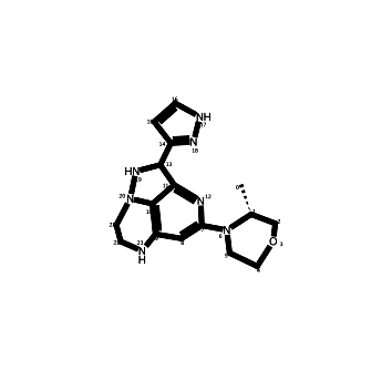 C[C@@H]1COCCN1c1cc2c3c(n1)C(c1cc[nH]n1)NN3CCN2